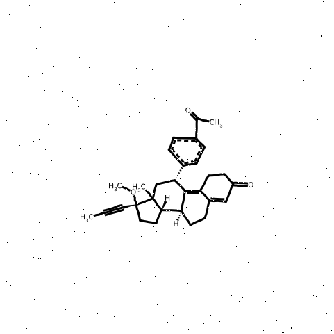 CC#C[C@]1(OC)CC[C@H]2[C@@H]3CCC4=CC(=O)CCC4=C3[C@@H](c3ccc(C(C)=O)cc3)CC21C